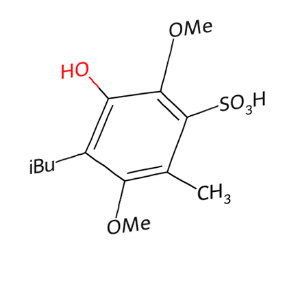 CCC(C)c1c(O)c(OC)c(S(=O)(=O)O)c(C)c1OC